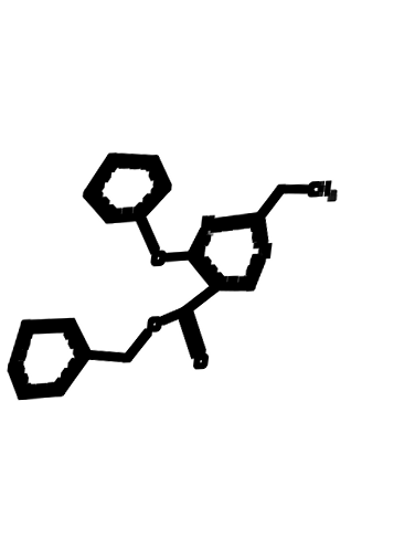 CCc1ncc(C(=O)OCc2ccccc2)c(Oc2ccccc2)n1